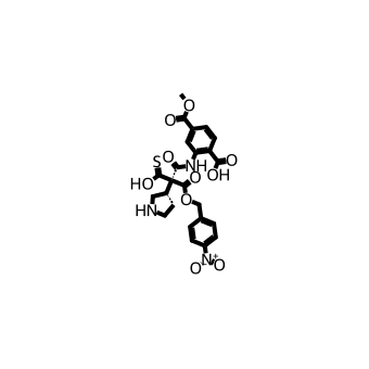 COC(=O)c1ccc(C(=O)O)c(NC(=O)[C@@](C(=O)OCc2ccc([N+](=O)[O-])cc2)(C(O)=S)[C@@H]2CCNC2)c1